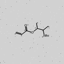 C=CC(=O)OC(C)C(C)CCCC